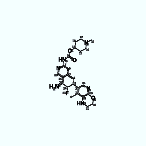 Cc1c(C2C=c3cc(NC(=O)OC4CCN(C)CC4)ncc3=C(N)C2F)cnc2c1NCCO2